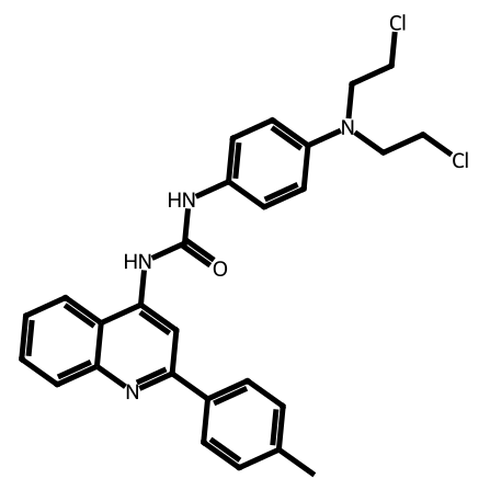 Cc1ccc(-c2cc(NC(=O)Nc3ccc(N(CCCl)CCCl)cc3)c3ccccc3n2)cc1